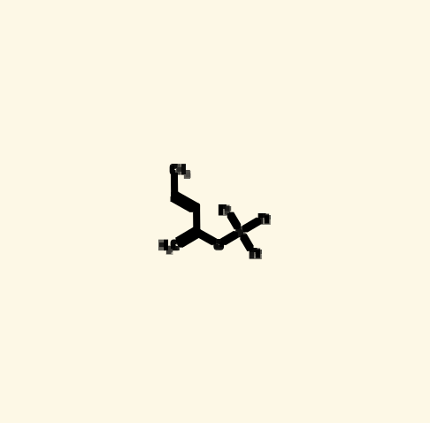 C=C(C=CC)O[Si](CC)(CC)CC